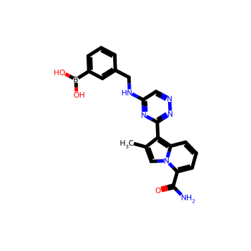 Cc1cn2c(C(N)=O)cccc2c1-c1nncc(NCc2cccc(B(O)O)c2)n1